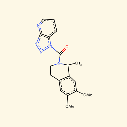 COc1cc2c(cc1OC)C(C)N(C(=O)n1nnc3ncccc31)CC2